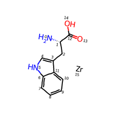 N[C@@H](Cc1c[nH]c2ccccc12)C(=O)O.[Zr]